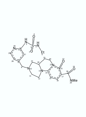 CCNS(=O)(=O)Nc1cc(CN2CCN3c4ccc(C(=O)NC)c(=O)n4CCC3C2)ccn1